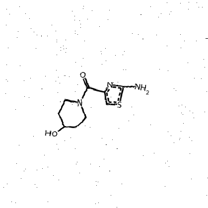 Nc1nc(C(=O)N2CCC(O)CC2)cs1